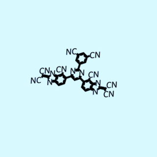 N#CC(C#N)=C1N=c2ccc(-c3cc(-c4ccc5c(c4C#N)=NC(=C(C#N)C#N)N=5)nc(-c4cc(C#N)cc(C#N)c4)n3)c(C#N)c2=N1